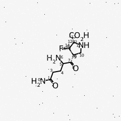 NC(=O)CCC(N)C(=O)[C@H]1CN[C@@H](C(=O)O)[C@@H]1F